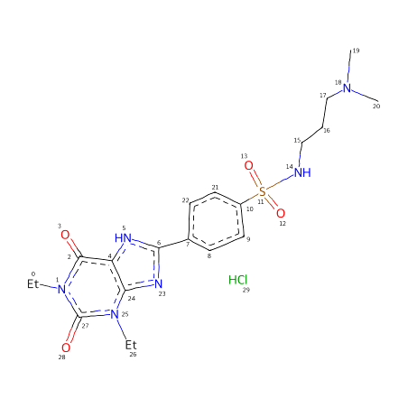 CCn1c(=O)c2[nH]c(-c3ccc(S(=O)(=O)NCCCN(C)C)cc3)nc2n(CC)c1=O.Cl